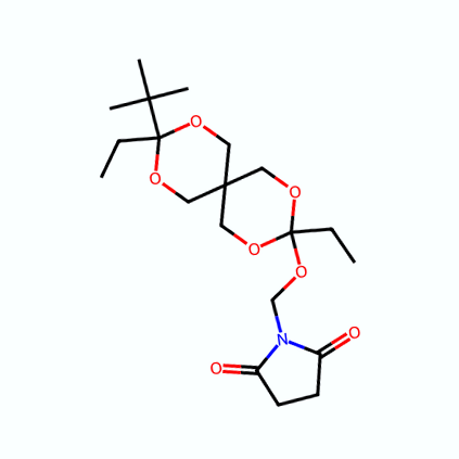 CCC1(OCN2C(=O)CCC2=O)OCC2(CO1)COC(CC)(C(C)(C)C)OC2